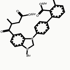 CCC(C)N1CN(c2ccc(-c3cccc(C)c3C(=O)OC)cc2)c2cc(C(=O)C(C)CC(=O)OC)ccc21